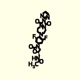 CC(=O)NC[C@H]1CN(c2cc(F)c(N3CCn4c(=O)n(-c5ncccn5)c(=O)n4CC3)c(F)c2)C(=O)O1